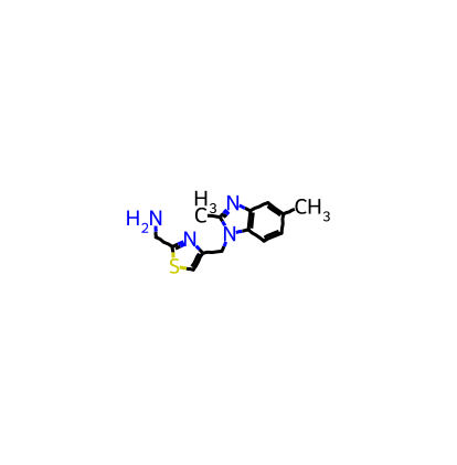 Cc1ccc2c(c1)nc(C)n2Cc1csc(CN)n1